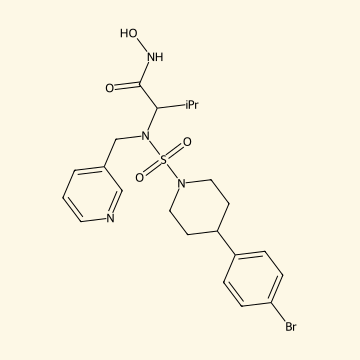 CC(C)C(C(=O)NO)N(Cc1cccnc1)S(=O)(=O)N1CCC(c2ccc(Br)cc2)CC1